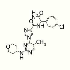 Cc1cnc(NC2CCOCC2)nc1-n1cnc(C(=O)NC(C(N)=O)C2=CC=CC(Cl)=CC2)c1